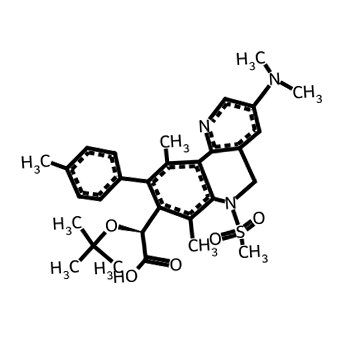 Cc1ccc(-c2c(C)c3c(c(C)c2[C@H](OC(C)(C)C)C(=O)O)N(S(C)(=O)=O)Cc2cc(N(C)C)cnc2-3)cc1